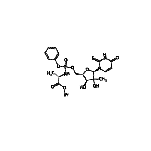 CC(C)OC(=O)[C@H](C)NP(=O)(OC[C@H]1O[C@@H](n2ccc(=O)[nH]c2=S)C(C)(O)[C@H]1O)Oc1ccccc1